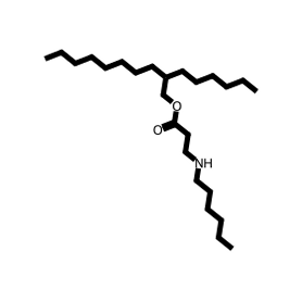 CCCCCCCCC(CCCCCC)COC(=O)CCNCCCCCC